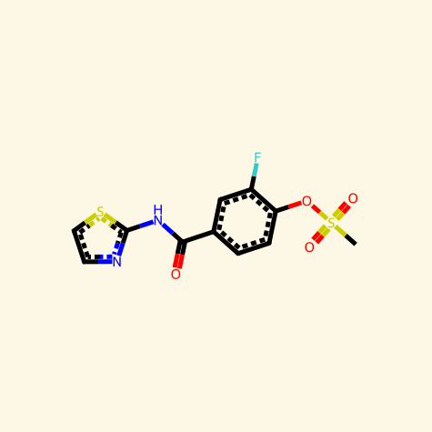 CS(=O)(=O)Oc1ccc(C(=O)Nc2nccs2)cc1F